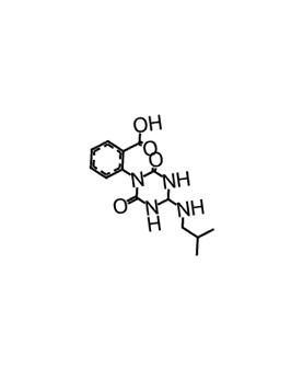 CC(C)CNC1NC(=O)N(c2ccccc2C(=O)O)C(=O)N1